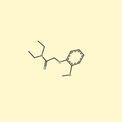 CCN(CC)C(=O)COc1cc[c]cc1OC